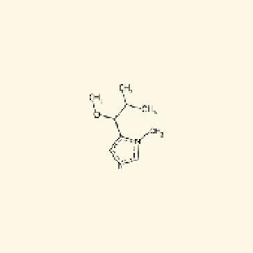 COC(c1cncn1C)C(C)C